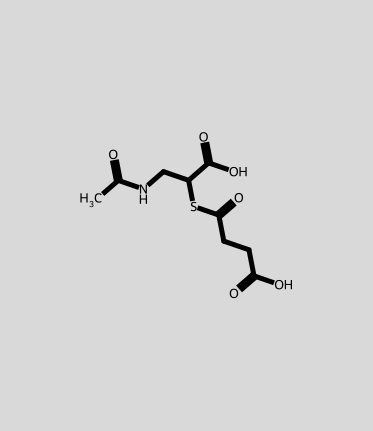 CC(=O)NCC(SC(=O)CCC(=O)O)C(=O)O